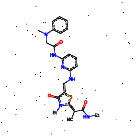 CCNC(=O)C(C#N)=c1sc(=CNc2cccc(NC(=O)CN(C)c3ccccc3)n2)c(=O)n1CC